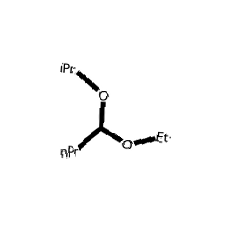 C[CH]OC(CCC)OC(C)C